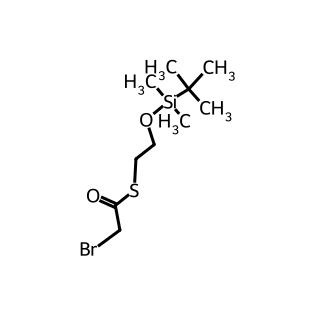 CC(C)(C)[Si](C)(C)OCCSC(=O)CBr